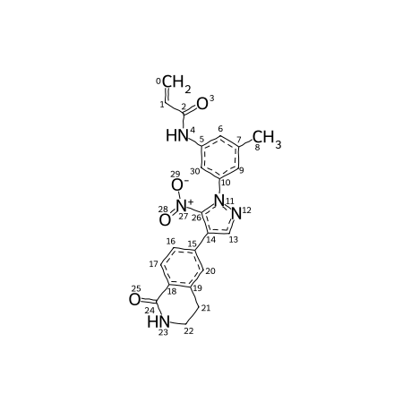 C=CC(=O)Nc1cc(C)cc(-n2ncc(-c3ccc4c(c3)CCNC4=O)c2[N+](=O)[O-])c1